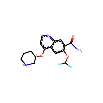 NC(=O)c1cc2nccc(O[C@@H]3CCCNC3)c2cc1OC(F)F